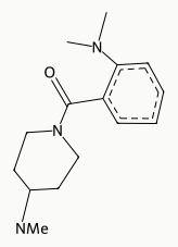 CNC1CCN(C(=O)c2ccccc2N(C)C)CC1